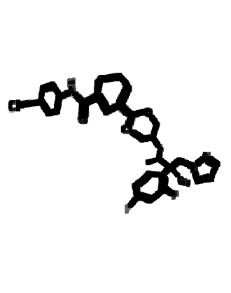 C[C@@H](SC1COC(c2cccc(C(=O)Nc3ccc(Cl)cc3)c2)OC1)[C@](O)(Cn1cncn1)c1ccc(F)cc1F